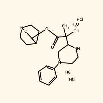 CC(O)(C(=O)OC1CN2CCC1CC2)C1CN(c2ccccc2)CCN1.Cl.Cl.Cl.O